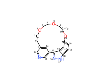 C[C@H]1COCCOCCc2cncc(c2)-c2n[nH]c3ccc(cc23)O1